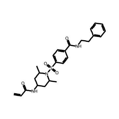 C=CC(=O)NC1CC(C)N(S(=O)(=O)c2ccc(C(=O)NCCc3ccccc3)cc2)C(C)C1